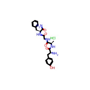 C[C@@H](NC(=O)[C@@H](N)Cc1ccc(O)cc1)C(=O)NCC(=O)N[C@@H](Cc1ccccc1)C(N)=O.Cl